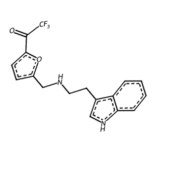 O=C(c1ccc(CNCCc2c[nH]c3ccccc23)o1)C(F)(F)F